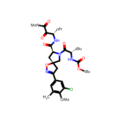 CCC[C@H](NC(=O)[C@@H]1C[C@]2(CC(c3cc(C)c(OC)c(Cl)c3)=NO2)CN1C(=O)[C@@H](NC(=O)OC(C)(C)C)C(C)(C)C)C(=O)C(=O)NC